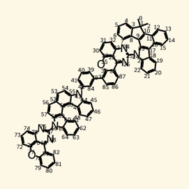 CC1(C)c2ccccc2-c2c1c1ccccc1c1c3ccccc3n(-c3nc4c5c(cccc5n3)Oc3c(-c5cccc(-n6c7ccccc7c7c8c(ccc76)ccc6c8c7ccccc7n6-c6nc7c8c(cccc8n6)Oc6ccccc6-7)c5)cccc3-4)c21